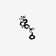 CN1CCn2c(ccc2S(C)(=O)=O)C12CCN(C(=O)OCc1ccccc1)CC2